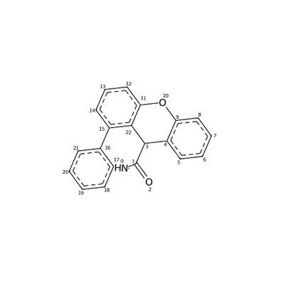 [NH]C(=O)C1c2ccccc2Oc2cccc(-c3ccccc3)c21